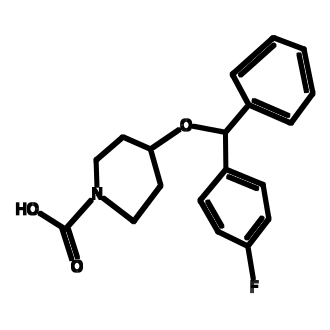 O=C(O)N1CCC(OC(c2ccccc2)c2ccc(F)cc2)CC1